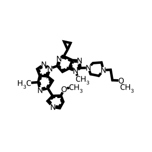 COCCN1CCN(c2nc3c(C4CC4)nc(-n4ncc5c(C)nc(-c6cnccc6OC)cc54)cc3n2C)CC1